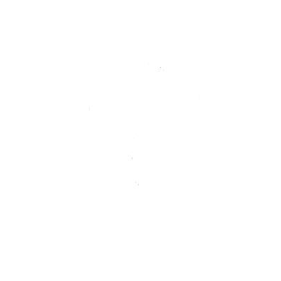 Cc1ccc(C(NC(=O)Cc2cc(C)c3c(c2)CC(=O)N3)c2ccc(C)o2)c(N2CCCCC2)c1